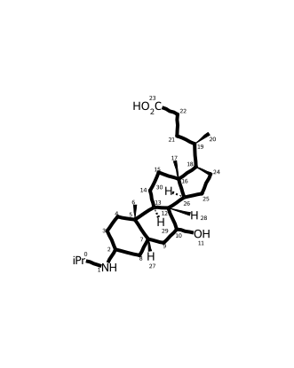 CC(C)NC1CC[C@@]2(C)[C@@H](C1)CC(O)[C@@H]1[C@@H]2CC[C@]2(C)[C@@H]([C@H](C)CCC(=O)O)CC[C@@H]12